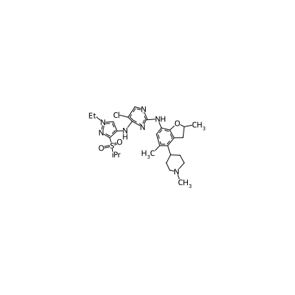 CCn1cc(Nc2nc(Nc3cc(C)c(C4CCN(C)CC4)c4c3OC(C)C4)ncc2Cl)c(S(=O)(=O)C(C)C)n1